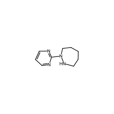 c1cnc(N2CCCCCN2)nc1